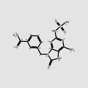 CCCS(=O)(=O)Nc1nc(N)c2[nH]c(=O)n(Cc3cccc(C(N)=O)c3)c2n1